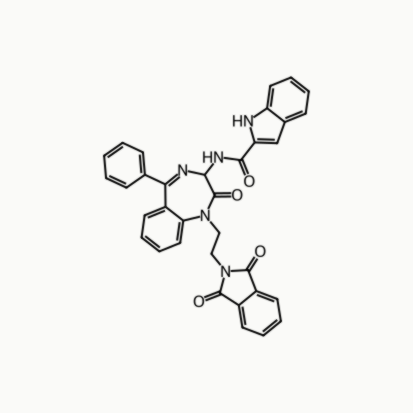 O=C(NC1N=C(c2ccccc2)c2ccccc2N(CCN2C(=O)c3ccccc3C2=O)C1=O)c1cc2ccccc2[nH]1